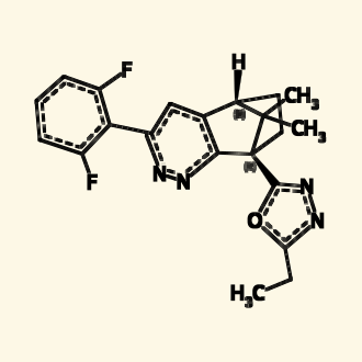 CCc1nnc([C@@]23CC[C@@H](c4cc(-c5c(F)cccc5F)nnc42)C3(C)C)o1